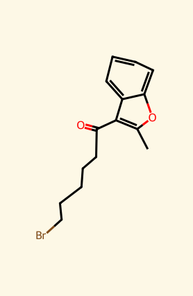 Cc1oc2ccccc2c1C(=O)CCCCCBr